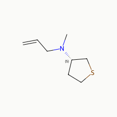 C=CCN(C)[C@H]1CCSC1